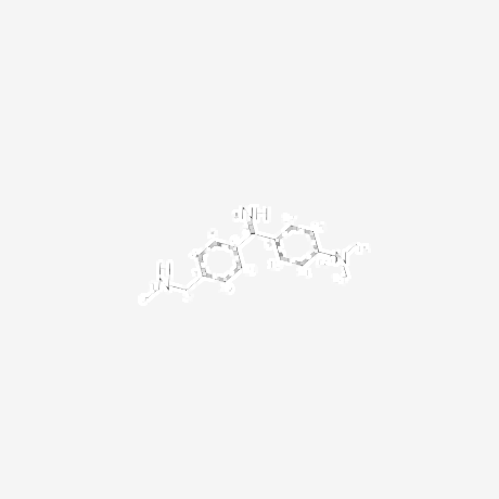 CNCc1ccc(C(=N)c2ccc(N(C)C)cc2)cc1